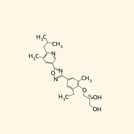 CCc1cc(-c2noc(-c3cnc(CC(C)C)c(C)c3)n2)cc(C)c1OC[C@@H](O)CO